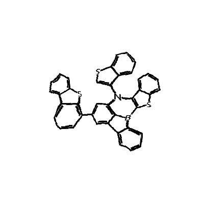 c1ccc2c(c1)B1c3sc4ccccc4c3N(c3csc4ccccc34)c3cc(-c4cccc5c4sc4ccccc45)cc-2c31